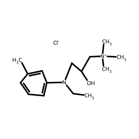 CCN(CC(O)C[N+](C)(C)C)c1cccc(C)c1.[Cl-]